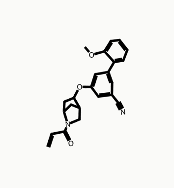 C=CC(=O)N1CC2CC1CC2Oc1cc(C#N)cc(-c2ccccc2OC)c1